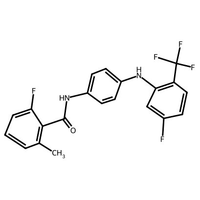 Cc1cccc(F)c1C(=O)Nc1ccc(Nc2cc(F)ccc2C(F)(F)F)cc1